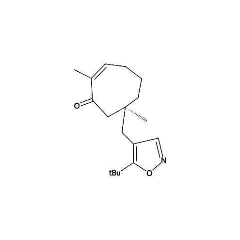 C/C1=C/CCC[C@@](C)(Cc2cnoc2C(C)(C)C)CC1=O